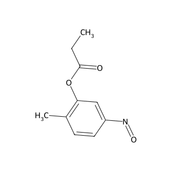 CCC(=O)Oc1cc(N=O)ccc1C